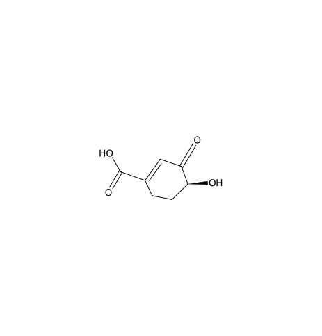 O=C(O)C1=CC(=O)[C@@H](O)CC1